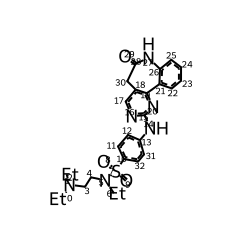 CCN(CC)CCN(CC)S(=O)(=O)c1ccc(Nc2ncc3c(n2)-c2ccccc2NC(=O)C3)cc1